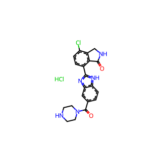 Cl.O=C1NCc2c(Cl)ccc(-c3nc4cc(C(=O)N5CCNCC5)ccc4[nH]3)c21